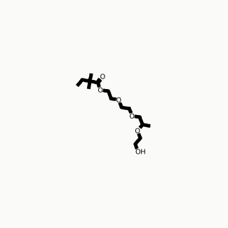 CCC(C)(C)C(=O)OCCOCCOCC(C)OCCO